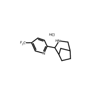 Cl.FC(F)(F)c1ccc(C2NCC3CCC2C3)nc1